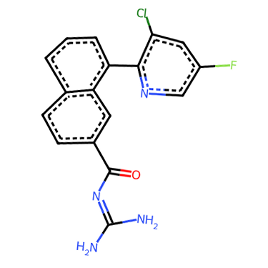 NC(N)=NC(=O)c1ccc2cccc(-c3ncc(F)cc3Cl)c2c1